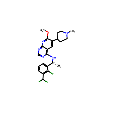 COc1nc2ncnc(N[C@H](C)c3cccc(C(F)F)c3F)c2cc1C1CCN(C)CC1